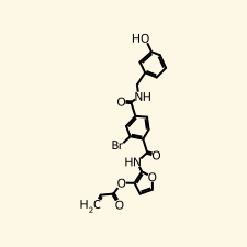 C=CC(=O)Oc1ccoc1NC(=O)c1ccc(C(=O)NCc2cccc(O)c2)cc1Br